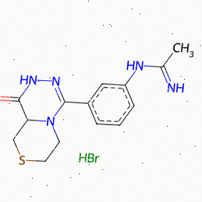 Br.CC(=N)Nc1cccc(C2=NNC(=O)C3CSCCN23)c1